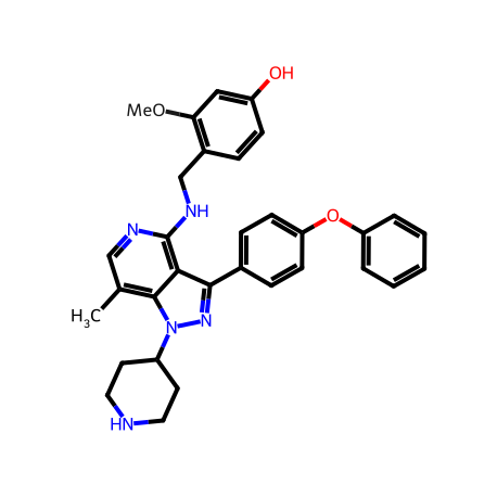 COc1cc(O)ccc1CNc1ncc(C)c2c1c(-c1ccc(Oc3ccccc3)cc1)nn2C1CCNCC1